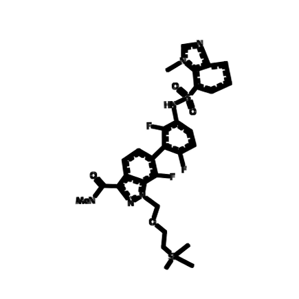 CNC(=O)c1nn(COCC[Si](C)(C)C)c2c(F)c(-c3c(F)ccc(NS(=O)(=O)c4cccc5ncn(C)c45)c3F)ccc12